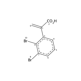 C=C(C(=O)O)c1cccc(Br)c1Br